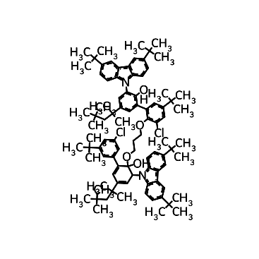 CC(C)(C)CC(C)(C)C1=CC(n2c3ccc(C(C)(C)C)cc3c3cc(C(C)(C)C)ccc32)C(O)(OCCCOc2c(Cl)cc(C(C)(C)C)cc2-c2cc(C(C)(C)CC(C)(C)C)cc(-n3c4ccc(C(C)(C)C)cc4c4cc(C(C)(C)C)ccc43)c2O)C(c2cc(Cl)cc(C(C)(C)C)c2)=C1